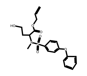 C=CCOC(=O)C(CCO)N(C)S(=O)(=O)c1ccc(Oc2ccccc2)cc1